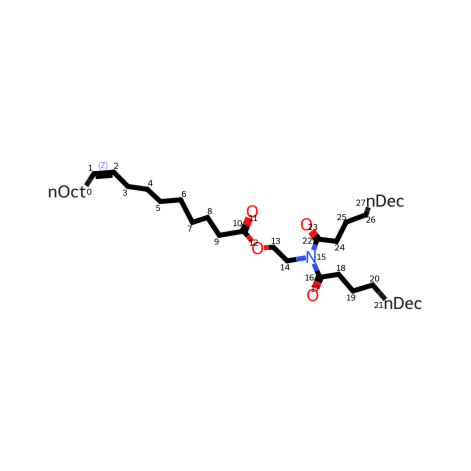 CCCCCCCC/C=C\CCCCCCCC(=O)OCCN(C(=O)CCCCCCCCCCCCC)C(=O)CCCCCCCCCCCCC